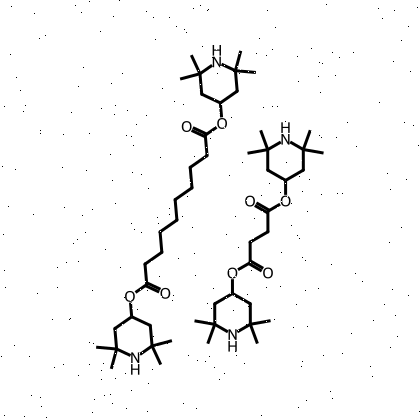 CC1(C)CC(OC(=O)CCC(=O)OC2CC(C)(C)NC(C)(C)C2)CC(C)(C)N1.CC1(C)CC(OC(=O)CCCCCCCCC(=O)OC2CC(C)(C)NC(C)(C)C2)CC(C)(C)N1